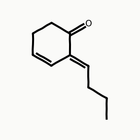 CCCC=C1C=CCCC1=O